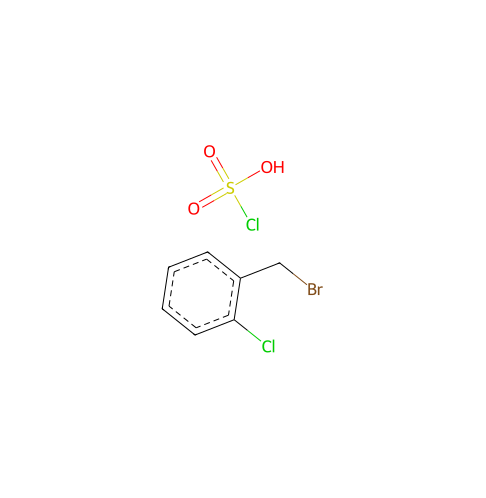 Clc1ccccc1CBr.O=S(=O)(O)Cl